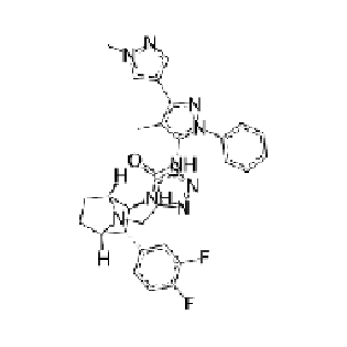 Cc1c(-c2cnn(C)c2)nn(-c2ccccc2)c1NC(=O)N[C@H]1[C@H](c2ccc(F)c(F)c2)[C@@H]2CC[C@H]1N2Cc1csnn1